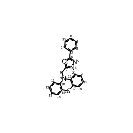 c1ccc(-c2nnc(CN3c4ccccc4Sc4ccccc43)o2)cc1